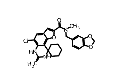 C=C1Nc2c(Cl)cc3cc(C(=O)N(C)Cc4ccc5c(c4)OCO5)oc3c2C2(CCCCC2)N1